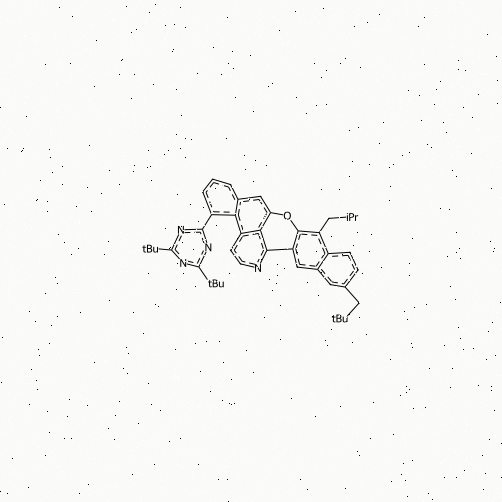 CC(C)Cc1c2c(cc3cc(CC(C)(C)C)ccc13)-c1nccc3c1c(cc1cccc(-c4nc(C(C)(C)C)nc(C(C)(C)C)n4)c13)O2